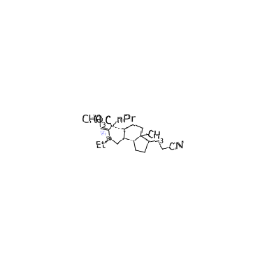 CCCC1(C)/C(=C\C=O)[C@H](CC)CC2C1CCC1(C)C(CCC#N)CCC21